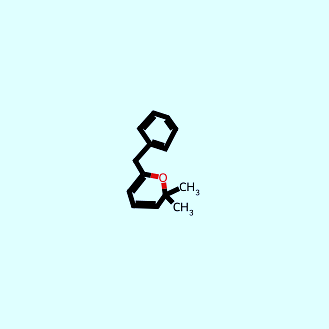 CC1(C)C=CC=C(Cc2ccccc2)O1